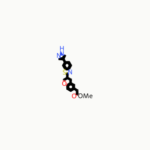 COC(=O)Cc1ccc2c(c1)CC(c1nc3ccc(-c4cn[nH]c4)cc3s1)CO2